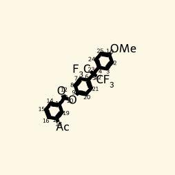 COc1ccc(C(c2ccc(OC(=O)c3cccc(C(C)=O)c3)cc2)(C(F)(F)F)C(F)(F)F)cc1